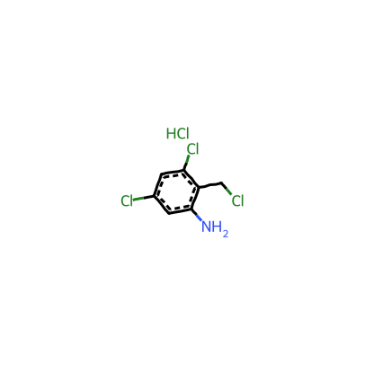 Cl.Nc1cc(Cl)cc(Cl)c1CCl